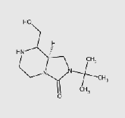 CC(C)(C)N1C[C@@H]2C(CO)NCCN2C1=O